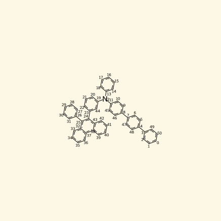 c1ccc(-c2ccc(-c3ccc(N(c4ccccc4)c4cccc(-c5c(-c6ccccc6)c6ccccc6c6ccccc56)c4)cc3)cc2)cc1